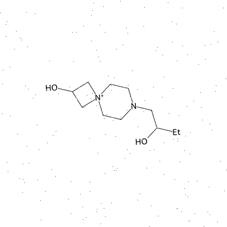 CCC(O)CN1CC[N+]2(CC1)CC(O)C2